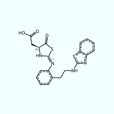 O=C(O)C[C@@H]1N/C(=N\c2ccccc2CCNc2nc3ccccc3s2)SC1=O